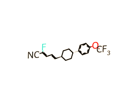 N#CC(F)=CC=C[C@H]1CC[C@H](c2ccc(OC(F)(F)F)cc2)CC1